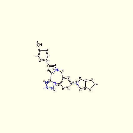 N#Cc1ccc(-c2cc3n(c2)Cc2cc(N4CC5CCCC5C4)ccc2-n2nnnc2-3)cc1